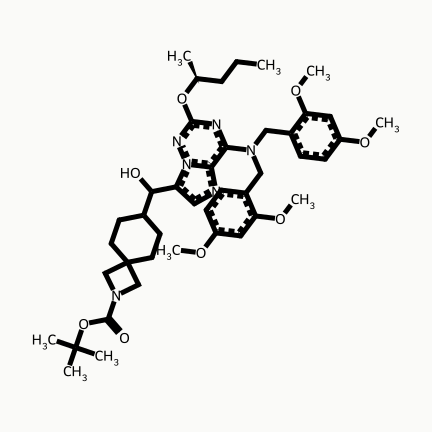 CCC[C@H](C)Oc1nc(N(Cc2ccc(OC)cc2OC)Cc2ccc(OC)cc2OC)c2ncc(C(O)C3CCC4(CC3)CN(C(=O)OC(C)(C)C)C4)n2n1